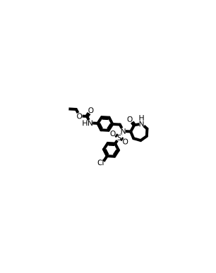 CCOC(=O)Nc1ccc(CN(C2CCCCNC2=O)S(=O)(=O)c2ccc(Cl)cc2)cc1